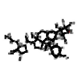 O=C1[C@@H](F)C[C@@H](C(=O)N2CC[C@@]3(S(=O)(=O)c4ccc(F)cc4)c4ccc(C(F)(C(F)(F)F)C(F)(F)F)cc4CC[C@@H]23)N1CCO